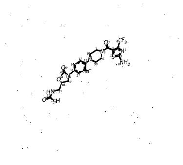 Nc1nc(C(F)(F)F)c(C(=O)N2CCN(c3ccc(N4CC(CNC(=O)S)OC4=O)cc3F)CC2)s1